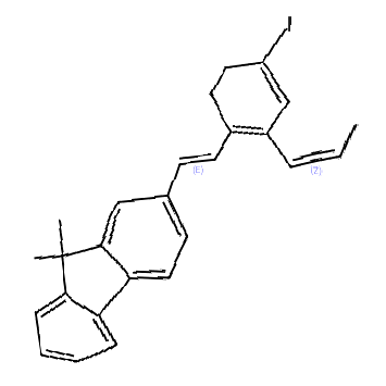 C/C=C\C1=C(/C=C/c2ccc3c(c2)C(C)(C)c2ccccc2-3)CCC(I)=C1